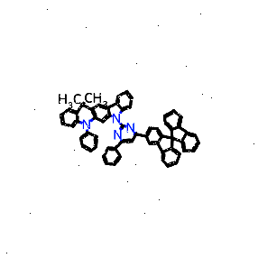 CC1(C)c2ccccc2N(c2ccccc2)c2cc3c(cc21)c1ccccc1n3-c1nc(-c2ccccc2)cc(-c2ccc3c(c2)-c2ccccc2C32c3ccccc3-c3ccccc32)n1